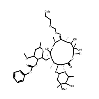 CC[C@H]1OC(=O)[C@H](C)[C@@H](OC2CC(C)(OC)C(O)C(C)O2)[C@H](C)[C@@H](OC2OC(C)CC(N(C)C)C2OC(=S)Oc2ccccc2)[C@@](C)(O)C[C@@H](C)/C(=N\OCOCCOC)[C@H](C)[C@@H](O)[C@]1(C)O